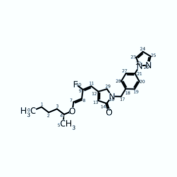 CCCC[C@H](C)O/C=C/C(F)=C\C1=CC(=O)N(Cc2ccc(-n3cccn3)cc2)C1